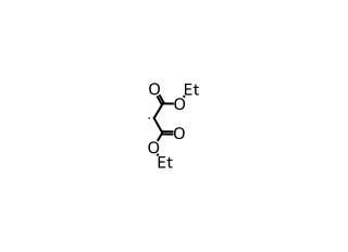 CCOC(=O)[CH]C(=O)OCC